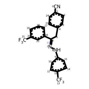 N#Cc1ccc(C/C(=N\Nc2ccc(C(F)(F)F)cc2)c2cccc(C(F)(F)F)c2)cc1